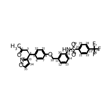 CC(=O)C[C@@H](c1ccc(OCc2cccc(NS(=O)(=O)c3ccc(C(F)(F)F)cc3)c2)cc1)c1ccon1